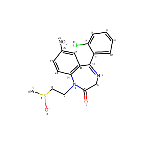 CCC[S+]([O-])CCN1C(=O)CN=C(c2ccccc2Cl)c2cc([N+](=O)[O-])ccc21